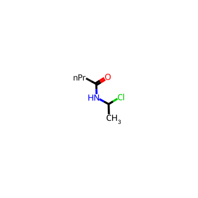 CCCC(=O)NC(C)Cl